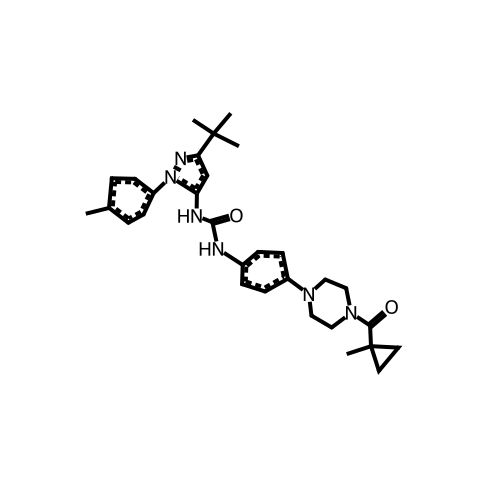 Cc1ccc(-n2nc(C(C)(C)C)cc2NC(=O)Nc2ccc(N3CCN(C(=O)C4(C)CC4)CC3)cc2)cc1